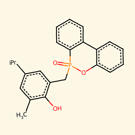 Cc1cc(C(C)C)cc(CP2(=O)Oc3ccccc3-c3ccccc32)c1O